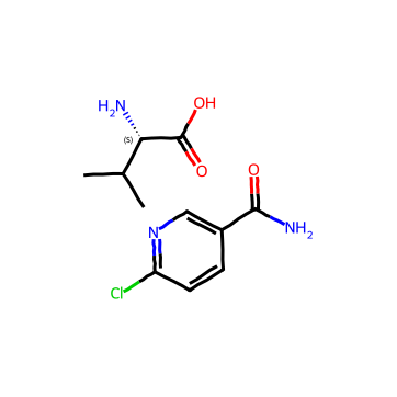 CC(C)[C@H](N)C(=O)O.NC(=O)c1ccc(Cl)nc1